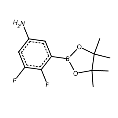 CC1(C)OB(c2cc(N)cc(F)c2F)OC1(C)C